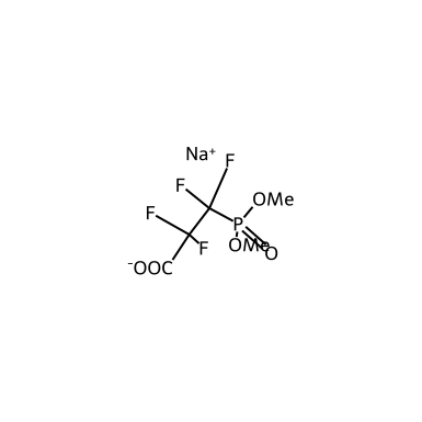 COP(=O)(OC)C(F)(F)C(F)(F)C(=O)[O-].[Na+]